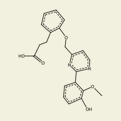 COc1c(O)cccc1-c1nccc(COc2ccccc2CCC(=O)O)n1